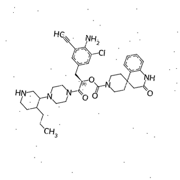 C#Cc1cc(C[C@@H](OC(=O)N2CCC3(CC2)CC(=O)Nc2ccccc23)C(=O)N2CCN(C3CNCCC3CCC)CC2)cc(Cl)c1N